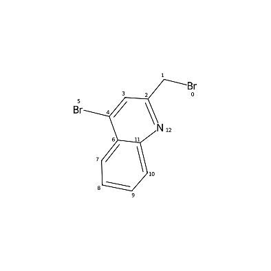 BrCc1cc(Br)c2ccccc2n1